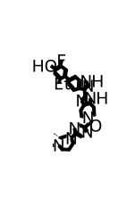 CCc1cc(O)c(F)cc1-c1ccc2c(-c3nc4c([nH]3)CCN(C(=O)c3cnc(N5CCCN(C)[C@H](C)C5)cn3)CC4)n[nH]c2c1